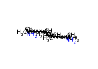 CCC(C)(CCCCCCCCC(N)C(C)C)C1CCC(C(C)(C)CCCCCCCCCC(N)C(C)C)CC1